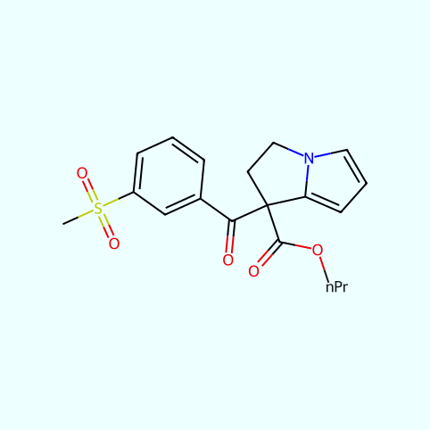 CCCOC(=O)C1(C(=O)c2cccc(S(C)(=O)=O)c2)CCn2cccc21